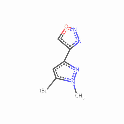 Cn1nc(-c2conn2)cc1C(C)(C)C